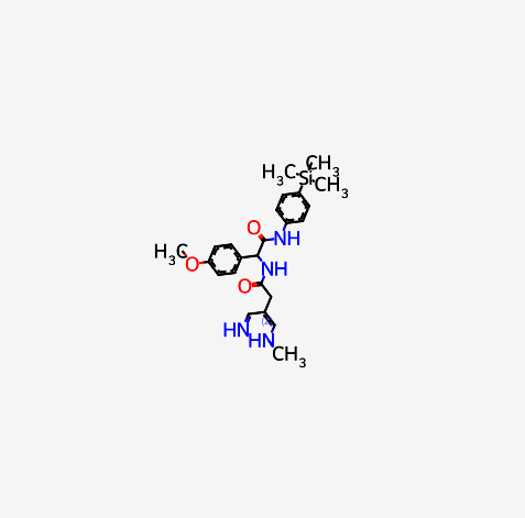 CN/C=C(\C=N)CC(=O)NC(C(=O)Nc1ccc([Si](C)(C)C)cc1)c1ccc(OC)cc1